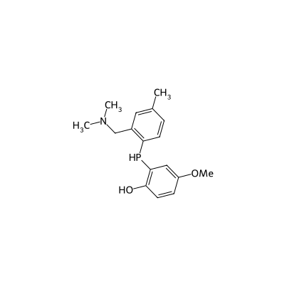 COc1ccc(O)c(Pc2ccc(C)cc2CN(C)C)c1